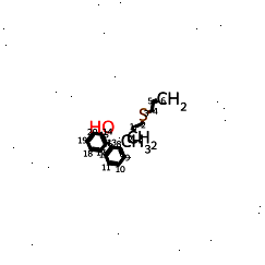 C=CCSCC=C.Cc1ccccc1.Oc1ccccc1